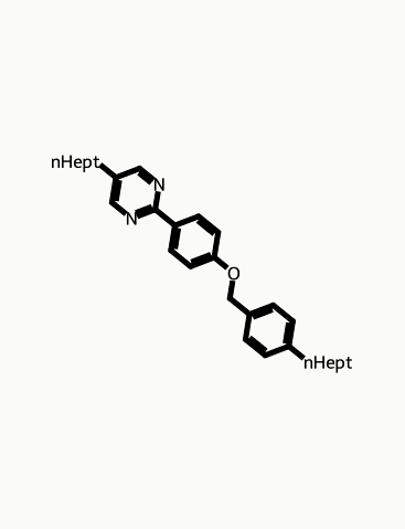 CCCCCCCc1ccc(COc2ccc(-c3ncc(CCCCCCC)cn3)cc2)cc1